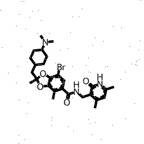 Cc1cc(C)c(CNC(=O)c2cc(Br)c3c(c2C)OC(C)(CC2CCC(N(C)C)CC2)O3)c(=O)[nH]1